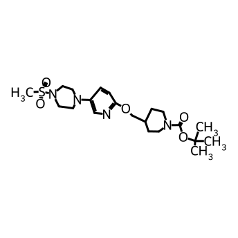 CC(C)(C)OC(=O)N1CCC(COc2ccc(N3CCN(S(C)(=O)=O)CC3)cn2)CC1